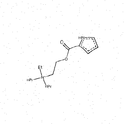 CCC[N+](CC)(CCC)CCOC(=O)c1ccc[nH]1